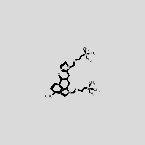 C[Si](C)(C)CCOCn1ccnc1CC(Cc1nccn1COCC[Si](C)(C)C)C(=O)c1ccc(C=O)cc1